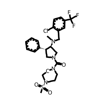 CN(Cc1cc(C(F)(F)F)ccc1Cl)[C@H]1CN(C(=O)N2CCN(S(C)(=O)=O)CC2)C[C@@H]1c1ccccc1